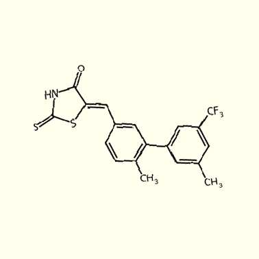 Cc1cc(-c2cc(/C=C3\SC(=S)NC3=O)ccc2C)cc(C(F)(F)F)c1